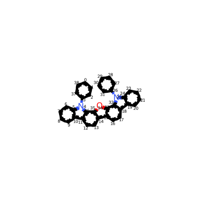 c1ccc(-n2c3ccccc3c3ccc4c5ccc6c7ccccc7n(-c7ccccc7)c6c5oc4c32)cc1